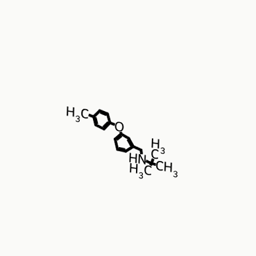 Cc1ccc(Oc2cccc(CNC(C)(C)C)c2)cc1